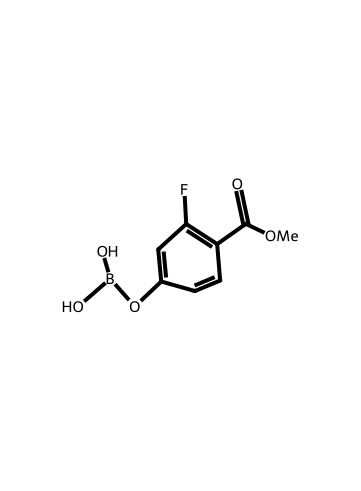 COC(=O)c1ccc(OB(O)O)cc1F